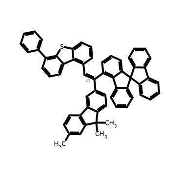 Cc1ccc2c(c1)C(C)(C)c1ccc(/C(=C/c3cccc4sc5c(-c6ccccc6)cccc5c34)c3cccc4c3-c3ccccc3C43c4ccccc4-c4ccccc43)cc1-2